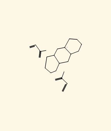 C=CC(=O)O[C@@]12CCCC[C@]1(OC(=O)C=C)C[C@@H]1CCCC[C@@H]1C2